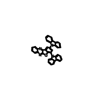 c1ccc2nc3c(nc2c1)oc1c(-n2c4ccccc4c4ccccc42)cc(-n2c4ccccc4c4ccccc42)cc13